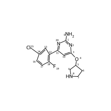 Nc1nc(OC2CCNC2)cc(-c2cc(Cl)ccc2F)n1